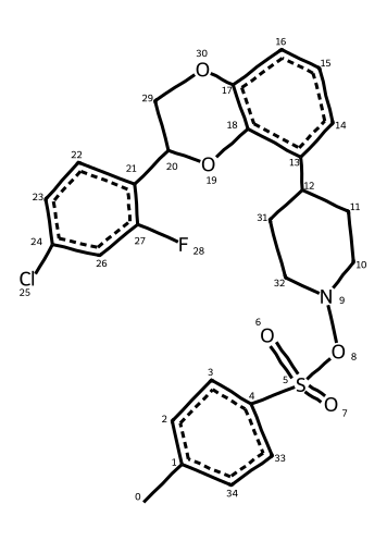 Cc1ccc(S(=O)(=O)ON2CCC(c3cccc4c3OC(c3ccc(Cl)cc3F)CO4)CC2)cc1